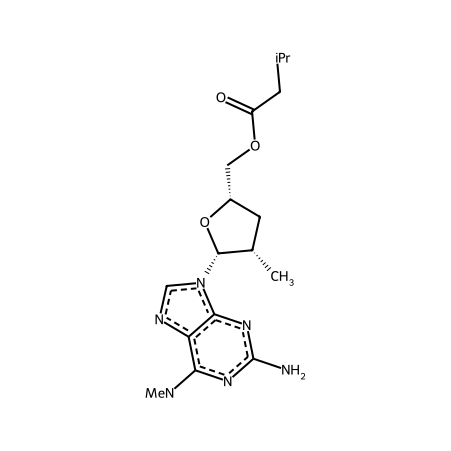 CNc1nc(N)nc2c1ncn2[C@@H]1O[C@H](COC(=O)CC(C)C)C[C@@H]1C